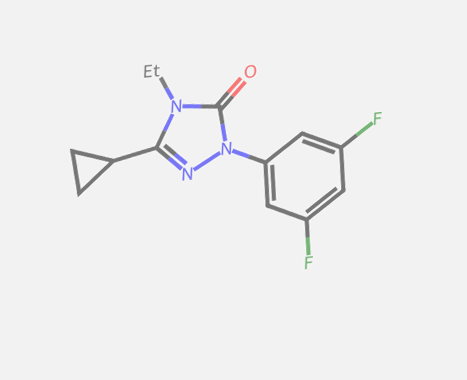 CCn1c(C2CC2)nn(-c2cc(F)cc(F)c2)c1=O